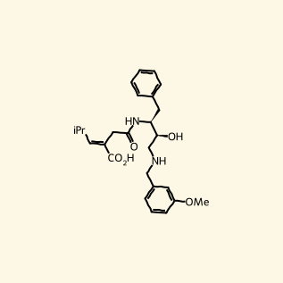 COc1cccc(CNC[C@H](O)[C@H](Cc2ccccc2)NC(=O)C/C(=C\C(C)C)C(=O)O)c1